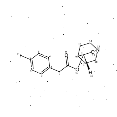 O=C(Cc1ccc(F)cc1)O[C@H]1CN2CCC1CC2